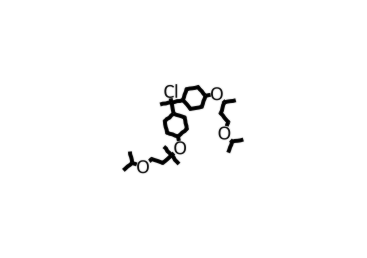 CC(C)OCCC(C)OC1CCC(C(C)(Cl)C2CCC(OC(C)(C)CCOC(C)C)CC2)CC1